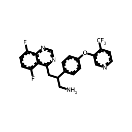 NCC(Cc1ncnc2c(F)ccc(F)c12)c1ccc(Oc2cnccc2C(F)(F)F)cc1